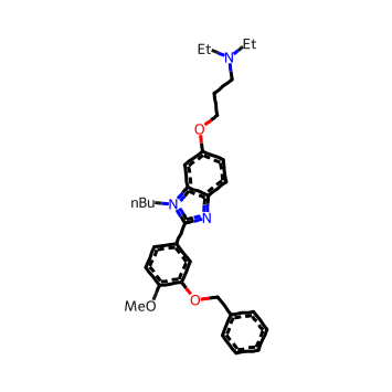 CCCCn1c(-c2ccc(OC)c(OCc3ccccc3)c2)nc2ccc(OCCCN(CC)CC)cc21